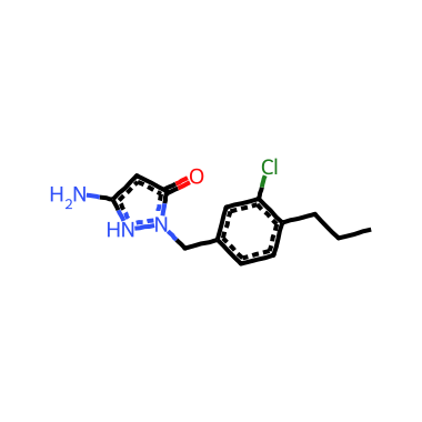 CCCc1ccc(Cn2[nH]c(N)cc2=O)cc1Cl